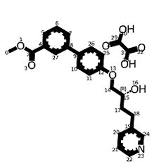 COC(=O)c1cccc(-c2ccc(OC[C@H](O)CCc3cccnc3)cc2)c1.O=C(O)C(=O)O